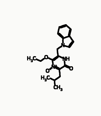 CCOc1c(Cn2ccc3ccccc32)[nH]c(=O)c(CC(C)C)[n+]1[O-]